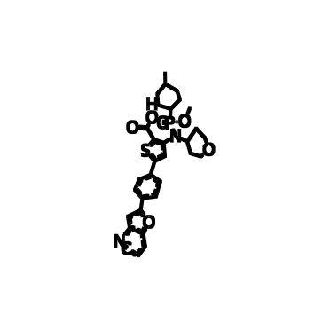 CO[P@](=O)(C1CCC(C)CC1)N(c1cc(-c2ccc(-c3cc4ncccc4o3)cc2)sc1C(=O)O)C1CCOCC1